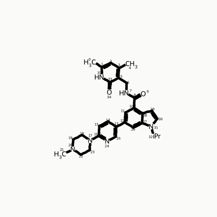 Cc1cc(C)c(CNC(=O)c2cc(-c3ccc(N4CCN(C)CC4)nc3)cc3c2ccn3C(C)C)c(=O)[nH]1